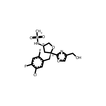 CS(=O)(=O)N[C@H]1CO[C@](Cc2cc(Cl)c(F)cc2F)(c2nc(CO)co2)C1